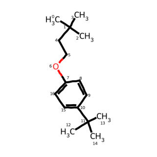 CC(C)(C)CCOc1ccc(C(C)(C)C)cc1